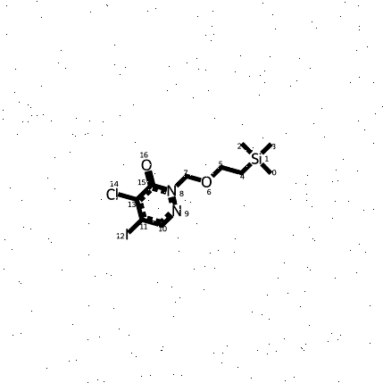 C[Si](C)(C)CCOCn1ncc(I)c(Cl)c1=O